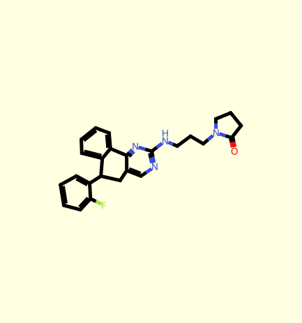 O=C1CCCN1CCCNc1ncc2c(n1)-c1ccccc1C(c1ccccc1F)C2